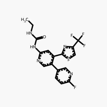 CCNC(=O)Nc1cc(-c2nc(C(F)(F)F)cs2)c(-c2ccc(F)nc2)cn1